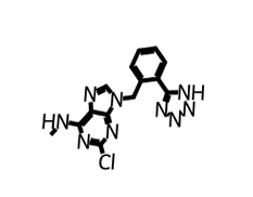 CNc1nc(Cl)nc2c1ncn2Cc1ccccc1-c1nnn[nH]1